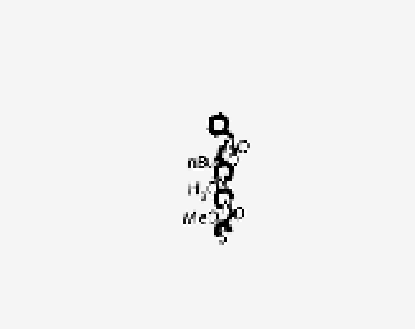 CCCCC1CN(CC2CCCCC2)C(=O)OC12CCN(C1(C)CCN(C(=O)c3cscc3OC)CC1)CC2